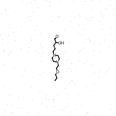 CCCOCCN1CCN(CCCC(O)C=O)CC1